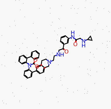 O=C(CNC1CC1)Nc1cccc(C(=O)CNCCN2CCC(OC(=O)N(c3ccccc3-c3ccccc3)c3ccccc3-c3ccccc3)CC2)c1